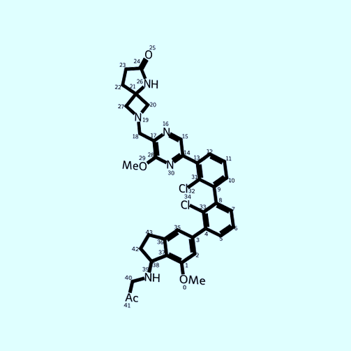 COc1cc(-c2cccc(-c3cccc(-c4cnc(CN5CC6(CCC(=O)N6)C5)c(OC)n4)c3Cl)c2Cl)cc2c1C(NCC(C)=O)CC2